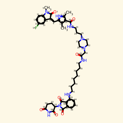 Cc1[nH]c(/C=C2\C(=O)N(C)c3ccc(F)cc32)c(C)c1C(=O)NCCCN1CCN(CC(=O)NCCCCCCCCNc2cccc3c2C(=O)N(C2CCC(=O)NC2=O)C3=O)CC1